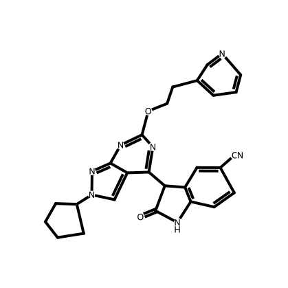 N#Cc1ccc2c(c1)C(c1nc(OCCc3cccnc3)nc3nn(C4CCCC4)cc13)C(=O)N2